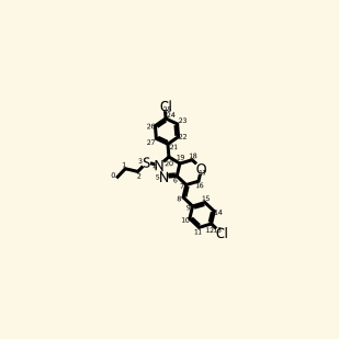 CCCSN1N=C2C(=Cc3ccc(Cl)cc3)COCC2C1c1ccc(Cl)cc1